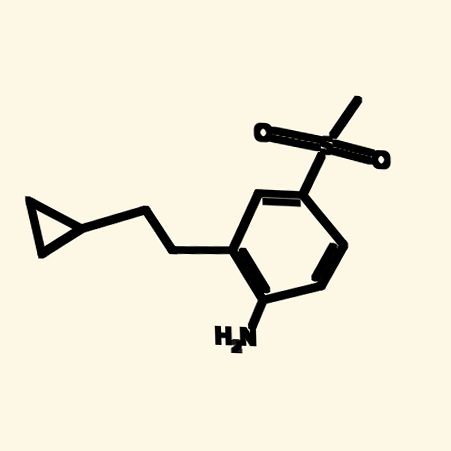 CS(=O)(=O)c1ccc(N)c(CCC2CC2)c1